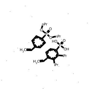 C=Cc1ccc(P(=O)(O)O)c(C(C)C)c1C(C)C.C=Cc1ccc(P(=O)(OCCC)OCCC)cc1